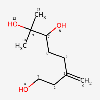 C=C(CCO)CCC(O)C(C)(C)O